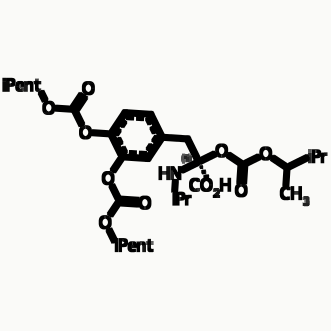 CCCC(C)OC(=O)Oc1ccc(C[C@](NC(C)C)(OC(=O)OC(C)C(C)C)C(=O)O)cc1OC(=O)OC(C)CCC